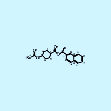 CCC(C)C(=O)OC1CCC(C(=O)OC(C)c2ccc3ccccc3c2)CC1